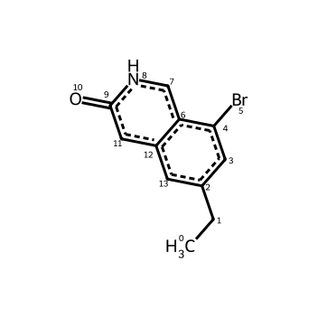 CCc1cc(Br)c2c[nH]c(=O)cc2c1